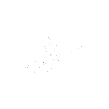 CC(C)(C)[S@+]([O-])N=C(c1cn(C2CC(C#N)C2)c2cc(Br)c(F)cc12)C(F)F